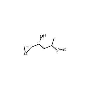 CCCC(C)C(C)C[C@@H](O)[C@H]1CO1